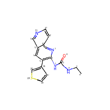 CCNC(=O)Nc1nc2ccncc2cc1-c1ccsc1